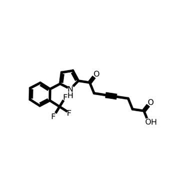 O=C(O)CCC#CCC(=O)c1ccc(-c2ccccc2C(F)(F)F)[nH]1